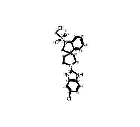 CCS(=O)(=O)N1CC2(CCN(c3nc4cc(Cl)ccc4[nH]3)CC2)c2ccccc21